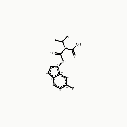 CC(C)[C@@H](C(=O)O)C(=O)On1ccc2ccc(F)cc21